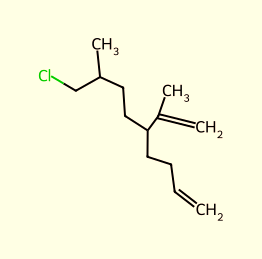 C=CCCC(CCC(C)CCl)C(=C)C